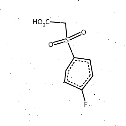 O=C(O)CS(=O)(=O)c1ccc(F)cc1